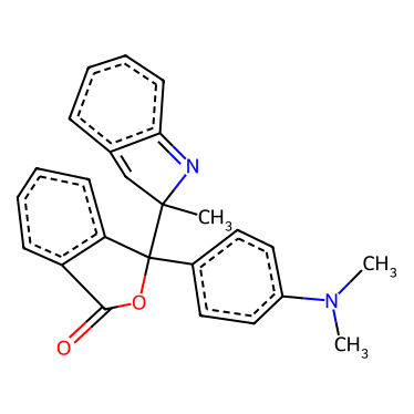 CN(C)c1ccc(C2(C3(C)C=c4ccccc4=N3)OC(=O)c3ccccc32)cc1